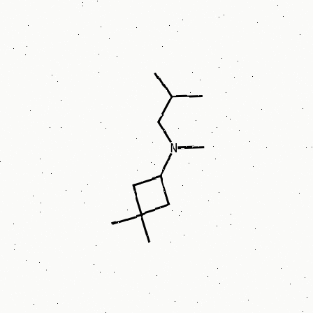 CC(C)CN(C)C1CC(C)(C)C1